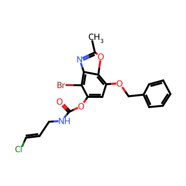 Cc1nc2c(Br)c(OC(=O)NCC=CCl)cc(OCc3ccccc3)c2o1